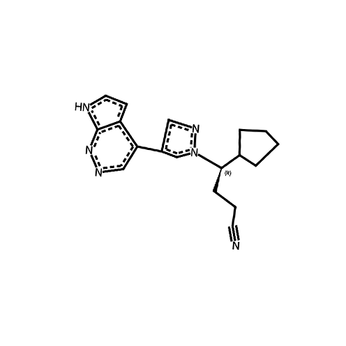 N#CCC[C@H](C1CCCC1)n1cc(-c2cnnc3[nH]ccc23)cn1